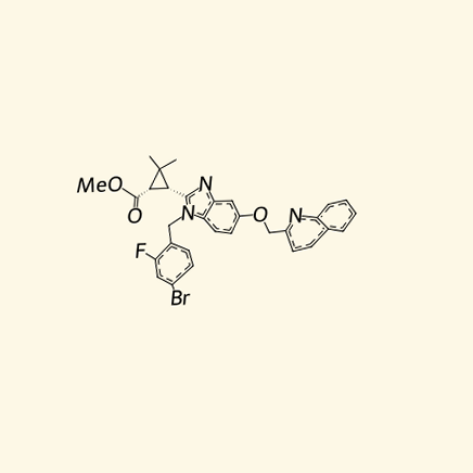 COC(=O)[C@H]1[C@@H](c2nc3cc(OCc4ccc5ccccc5n4)ccc3n2Cc2ccc(Br)cc2F)C1(C)C